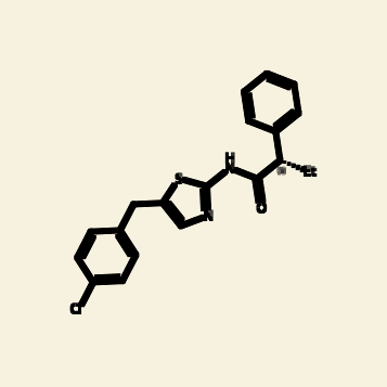 CC[C@H](C(=O)Nc1ncc(Cc2ccc(Cl)cc2)s1)c1ccccc1